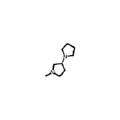 CN1CC[C@H](N2CCCC2)C1